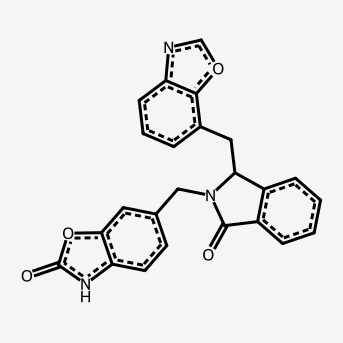 O=C1c2ccccc2C(Cc2cccc3ncoc23)N1Cc1ccc2[nH]c(=O)oc2c1